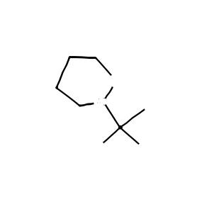 C[C](C)(C)[Al]1[CH2]CCC[O]1